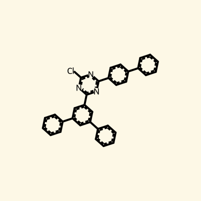 Clc1nc(-c2ccc(-c3ccccc3)cc2)nc(-c2cc(-c3ccccc3)cc(-c3ccccc3)c2)n1